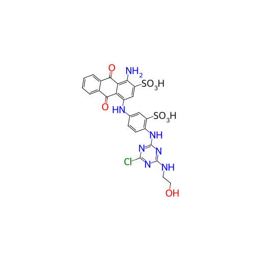 Nc1c(S(=O)(=O)O)cc(Nc2ccc(Nc3nc(Cl)nc(NCCO)n3)c(S(=O)(=O)O)c2)c2c1C(=O)c1ccccc1C2=O